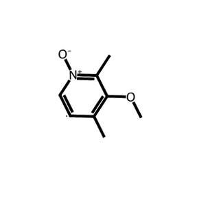 COc1c(C)[c]c[n+]([O-])c1C